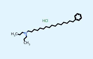 CCCN(CCC)CCCCCCCCCCCCCCCCc1ccccc1.Cl